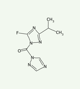 CC(C)c1nc(F)n(C(=O)n2cncn2)n1